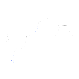 Nc1cccc(N(Cc2cccs2)C(=O)C(F)(F)F)c1